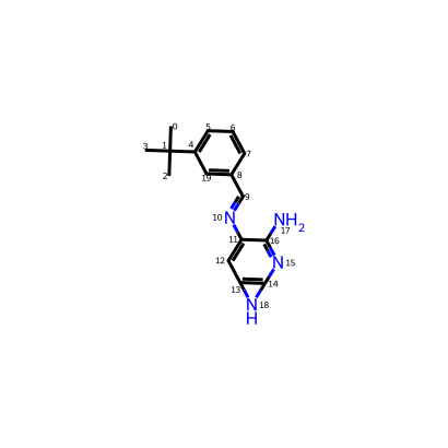 CC(C)(C)c1cccc(/C=N/c2cc3c(nc2N)N3)c1